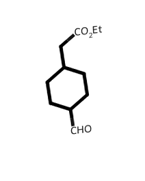 CCOC(=O)CC1CCC(C=O)CC1